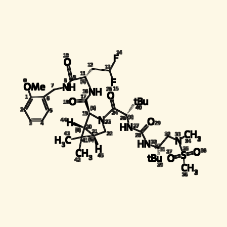 COc1ccccc1CNC(=O)[C@H](CC(F)F)NC(=O)[C@@H]1[C@@H]2[C@H](CN1C(=O)[C@@H](NC(=O)N[C@H](CN(C)S(C)(=O)=O)C(C)(C)C)C(C)(C)C)C2(C)C